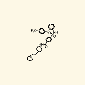 O=C(NC1CCC(CCN2CCCC2)CC1)c1ccc(S(=O)(=O)Nc2ccccc2Oc2ccc(C(F)(F)F)cc2)cc1